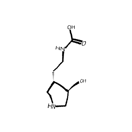 O=C(O)NCC[C@H]1CNC[C@@H]1O